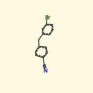 N#Cc1ccc(Cc2cccc(Br)c2)cc1